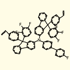 C=Cc1ccc(C2(c3ccc(F)c(F)c3F)c3ccccc3-c3ccc(N(c4ccc(-c5ccc(F)cc5)cc4)c4ccc5c(c4)C(c4ccc(C=C)cc4)(c4ccc(F)c(F)c4F)c4ccccc4-5)cc32)cc1